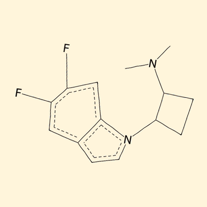 CN(C)C1CCC1n1ccc2cc(F)c(F)cc21